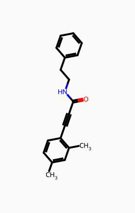 Cc1ccc(C#CC(=O)NCCc2ccccc2)c(C)c1